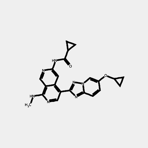 CNc1ncc(-c2nc3ccc(OC4CC4)cn3n2)c2cc(NC(=O)C3CC3)ncc12